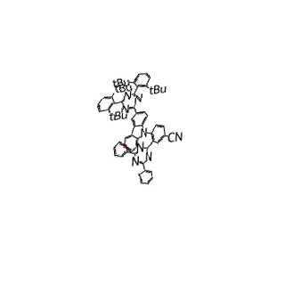 CC(C)(C)c1cccc(C(C)(C)C)c1-c1nc(-c2ccc3c(c2)c2ccccc2n3-c2ccc(C#N)cc2-c2nc(-c3ccccc3)nc(-c3ccccc3)n2)nc(-c2c(C(C)(C)C)cccc2C(C)(C)C)n1